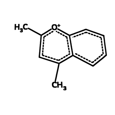 Cc1cc(C)c2ccccc2[o+]1